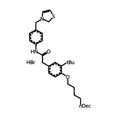 Br.CCCCCCCCCCCCCCOc1ccc(CC(=O)Nc2ccc(CN3C=CSC3)cc2)cc1C(C)(C)C